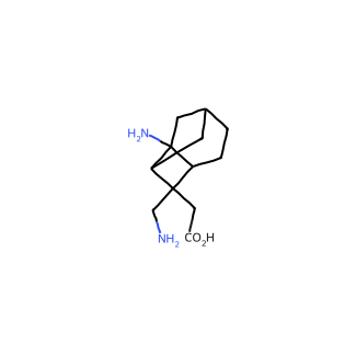 NCC1(CC(=O)O)C2CCC3CC1C2(N)C3